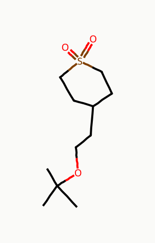 CC(C)(C)OCCC1CCS(=O)(=O)CC1